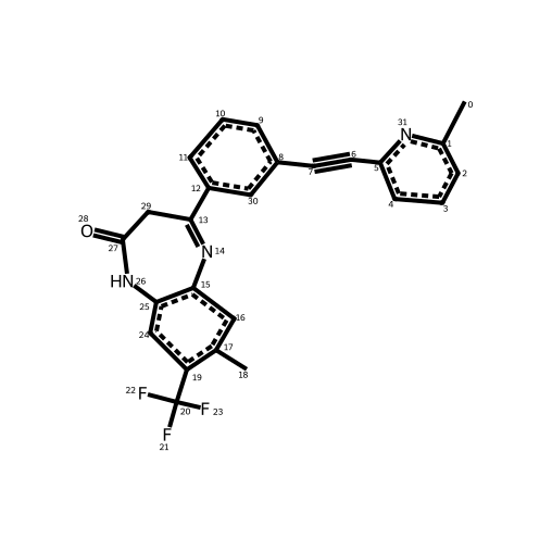 Cc1cccc(C#Cc2cccc(C3=Nc4cc(C)c(C(F)(F)F)cc4NC(=O)C3)c2)n1